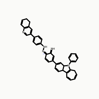 N=C1C=C(C2=CC3C(C=C2)C2=C(CC=CC=C2)N3c2ccccc2)C=C/C1=N/Nc1ccc(-c2cnc3c(c2)CCC=C3)cc1